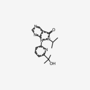 CC(C)n1c(=O)c2cncnc2n1-c1cccc(C(C)(C)O)n1